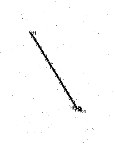 CCCCCCCCCC(O)(COCCOCCOCCOCCOCCOCCOCCOCCOCCOCCOCCOCCOCCOCCOCCOCCOCCOCCOCCO)c1ccccc1